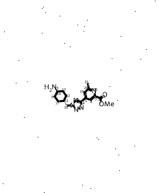 COC(=O)c1cc(-c2nnn(C[C@H]3CC[C@H](N)CC3)n2)cc(C)n1